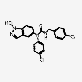 O=C(NCc1ccc(Cl)cc1)N(c1ccc(Cl)cc1)c1ccc2c(cnn2O)c1